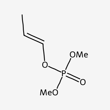 CC=COP(=O)(OC)OC